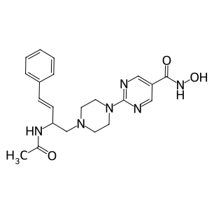 CC(=O)NC(/C=C/c1ccccc1)CN1CCN(c2ncc(C(=O)NO)cn2)CC1